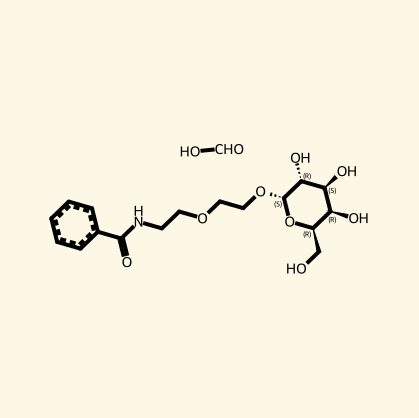 O=C(NCCOCCO[C@H]1O[C@H](CO)[C@H](O)[C@H](O)[C@H]1O)c1ccccc1.O=CO